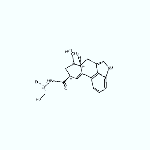 CC[C@@H](CO)NC(=O)[C@@H]1C=C2c3cccc4[nH]cc(c34)C[C@H]2N(C)C1.Cl